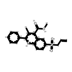 C=CCS(=O)(=O)c1ccc2nc(-c3ccccc3)c(C)c(C(=O)OC)c2c1